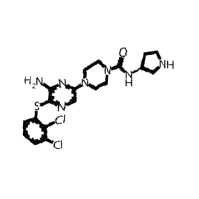 Nc1nc(N2CCN(C(=O)N[C@H]3CCNC3)CC2)cnc1Sc1cccc(Cl)c1Cl